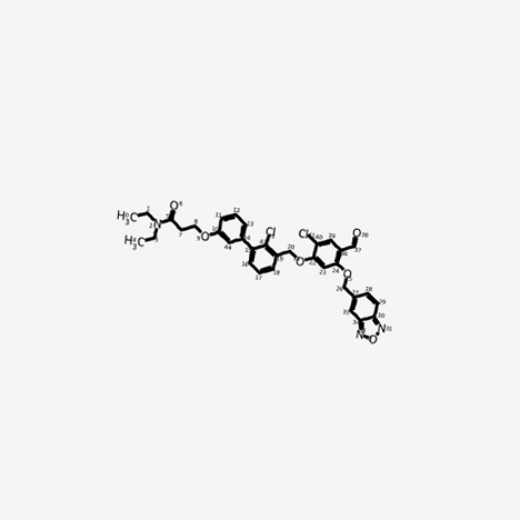 CCN(CC)C(=O)CCOc1cccc(-c2cccc(COc3cc(OCc4ccc5nonc5c4)c(C=O)cc3Cl)c2Cl)c1